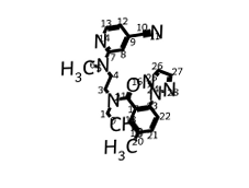 CCN(CCN(C)c1cc(C#N)ccn1)C(=O)c1cc(C)ccc1-n1nccn1